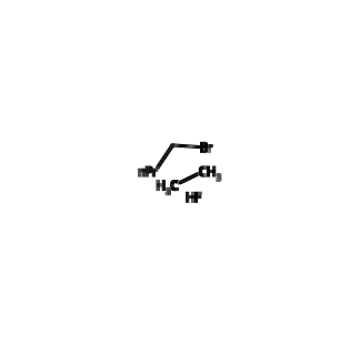 CC.CCCCBr.F